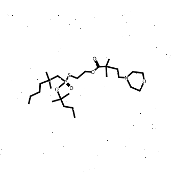 CCCCC(C)(C)CP(=O)(OC(C)(C)CCC)SCCOC(=O)C(C)(C)CCN1CCOCC1